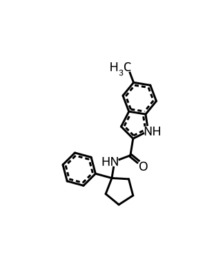 Cc1ccc2[nH]c(C(=O)NC3(c4ccccc4)CCCC3)cc2c1